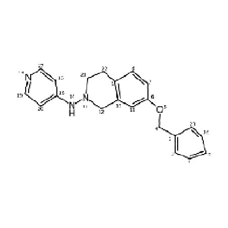 c1ccc(COc2ccc3c(c2)CN(Nc2ccncc2)CC3)cc1